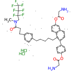 CN(CC(F)(F)C(F)(F)C(F)(F)F)C(=O)CCc1ccc(CCCCCc2c(-c3ccc(OC(=O)CN)cc3)ccc3cc(OC(=O)CN)ccc23)cc1.Cl.Cl